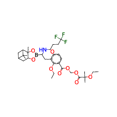 CCOc1c(CC(NC(=O)CCC(F)(F)F)B2OC3CC4CC(C4(C)C)C3(C)O2)cccc1C(=O)OCOC(=O)C(C)(C)OCC